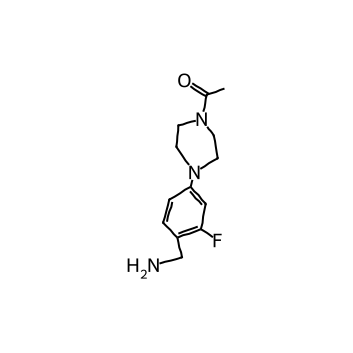 CC(=O)N1CCN(c2ccc(CN)c(F)c2)CC1